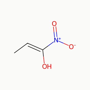 CC=C(O)[N+](=O)[O-]